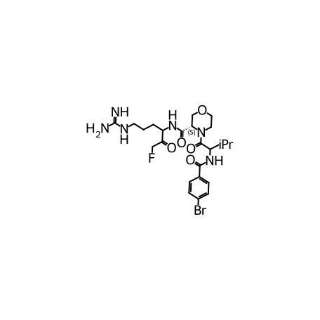 CC(C)C(NC(=O)c1ccc(Br)cc1)C(=O)N1CCOC[C@H]1C(=O)NC(CCCNC(=N)N)C(=O)CF